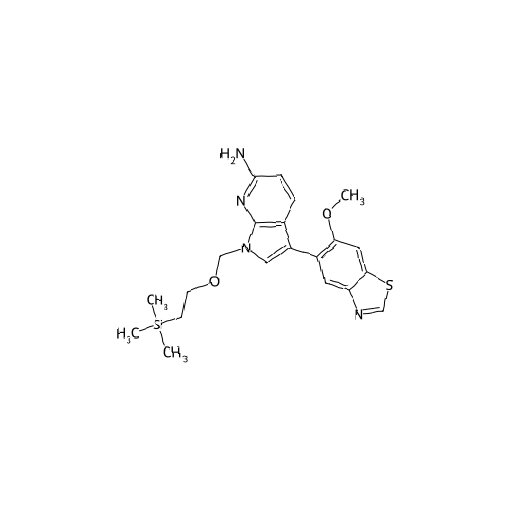 COc1cc2scnc2cc1-c1cn(COCC[Si](C)(C)C)c2nc(N)ccc12